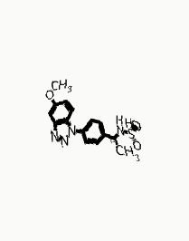 COc1ccc2c(c1)nnn2-c1ccc([C@H](C)N[SH](=O)=O)cc1